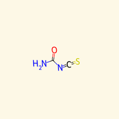 NC(=O)N=C=S